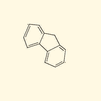 [c]1ccc2c(c1)Cc1c[c]ccc1-2